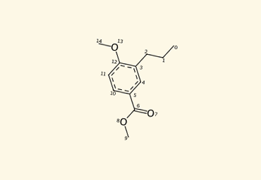 CCCc1cc(C(=O)OC)ccc1OC